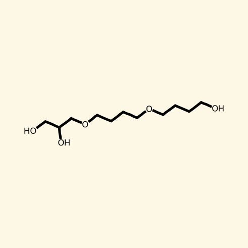 OCCCCOCCCCOCC(O)CO